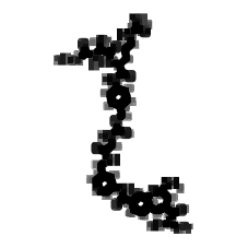 CCCCCCC(=O)NC(C(=O)N[C@@H](CCCNC(N)=O)C(=O)Nc1ccc(COC(=O)NCC(=O)NCc2cncc(NC(=O)c3ccc4c(c3)N=C(N)CC(C(=O)N(CCC)CCC)=C4)c2)cc1)C(C)C